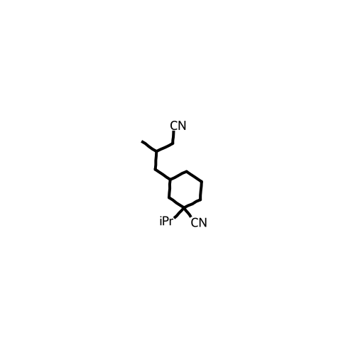 CC(CC#N)CC1CCCC(C#N)(C(C)C)C1